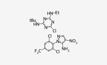 CCNc1nc(Cl)nc(NC(C)(C)C)n1.Nc1c([N+](=O)[O-])cnn1-c1c(Cl)cc(C(F)(F)F)cc1Cl